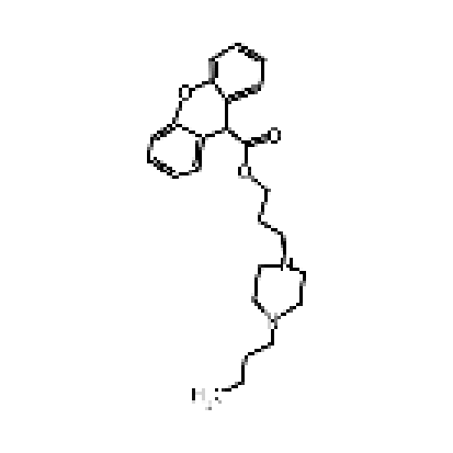 CCCCN1CCN(CCCOC(=O)C2c3ccccc3Oc3ccccc32)CC1